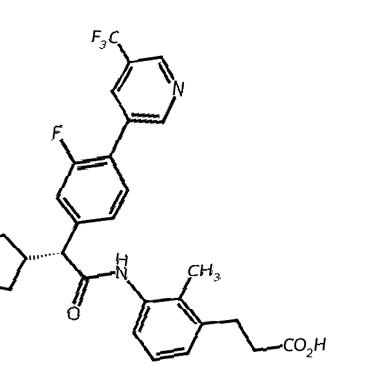 Cc1c(CCC(=O)O)cccc1NC(=O)[C@@H](c1ccc(-c2cncc(C(F)(F)F)c2)c(F)c1)C1CCCC1